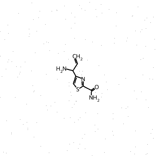 C=CC(N)c1csc(C(N)=O)n1